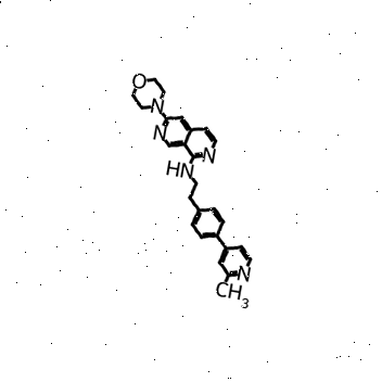 Cc1cc(-c2ccc(CCNc3nccc4cc(N5CCOCC5)ncc34)cc2)ccn1